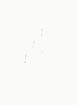 COC(=O)C=CC(=O)[O-].[Na+]